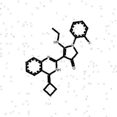 CCNC1=C(C2=Nc3ccccc3C(=C3CCC3)N2)C(=O)CN1c1ccccc1F